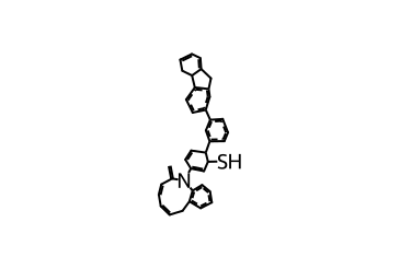 C=C1/C=C\C=C/Cc2ccccc2N1C1=CC(S)C(c2cccc(-c3ccc4c(c3)CC3=CC=CCC34)c2)C=C1